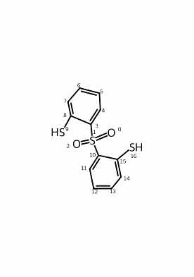 O=S(=O)(c1ccccc1S)c1ccccc1S